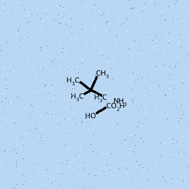 CC(C)(C)C.N.O=C(O)O